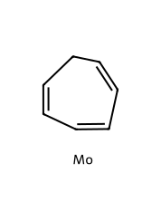 C1=CC=CCC=C1.[Mo]